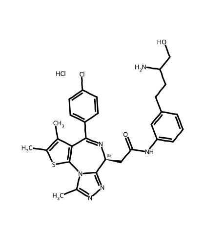 Cc1sc2c(c1C)C(c1ccc(Cl)cc1)=N[C@@H](CC(=O)Nc1cccc(CCC(N)CO)c1)c1nnc(C)n1-2.Cl